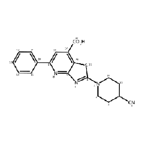 N#CC1CCN(c2nc3nc(-c4ccccc4)cc(C(=O)O)c3s2)CC1